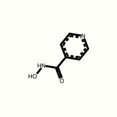 O=C(NO)c1ccncc1